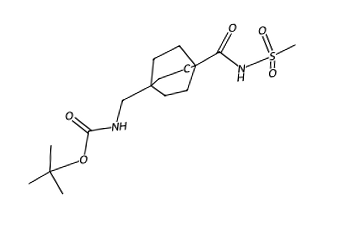 CC(C)(C)OC(=O)NCC12CCC(C(=O)NS(C)(=O)=O)(CC1)CC2